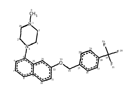 CN1CCN(c2cccc3ccc(OCc4ccc(C(F)(F)F)cc4)cc23)CC1